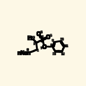 CCCCCCCCCCC(CC)S(=O)(=O)Oc1ccccc1